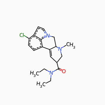 CCN(CC)C(=O)C1C=C2c3ccc(Cl)c4ccn(c34)CC2N(C)C1